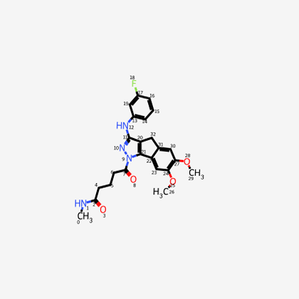 CNC(=O)CCCC(=O)n1nc(Nc2cccc(F)c2)c2c1-c1cc(OC)c(OC)cc1C2